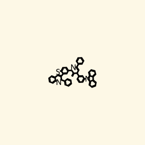 C=C1C(c2ccc3sc4c5ccccc5nc(-c5ccccc5)c4c3c2)=NC(c2ccccc2)=CC1c1cccc(-n2c3ccccc3c3ccccc32)c1